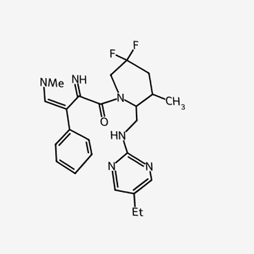 CCc1cnc(NCC2C(C)CC(F)(F)CN2C(=O)C(=N)/C(=C\NC)c2ccccc2)nc1